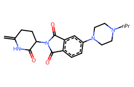 C=C1CCC(N2C(=O)c3ccc(N4CCN(CCC)CC4)cc3C2=O)C(=O)N1